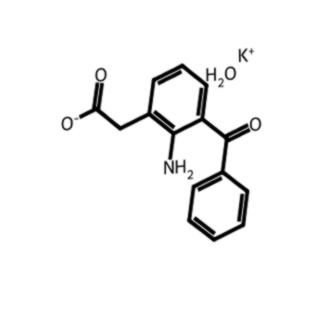 Nc1c(CC(=O)[O-])cccc1C(=O)c1ccccc1.O.[K+]